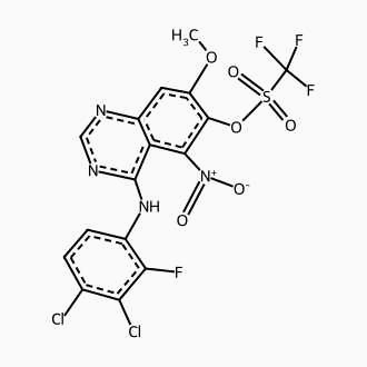 COc1cc2ncnc(Nc3ccc(Cl)c(Cl)c3F)c2c([N+](=O)[O-])c1OS(=O)(=O)C(F)(F)F